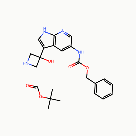 CC(C)(C)OC=O.O=C(Nc1cnc2[nH]cc(C3(O)CNC3)c2c1)OCc1ccccc1